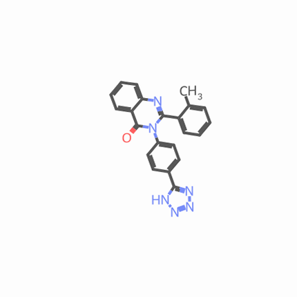 Cc1ccccc1-c1nc2ccccc2c(=O)n1-c1ccc(-c2nnn[nH]2)cc1